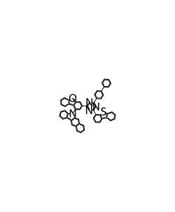 c1ccc(-c2ccc(-c3nc(-c4cc(-n5c6ccccc6c6cc7ccccc7cc65)c5c(c4)oc4ccccc45)nc(-c4cccc5c4sc4ccccc45)n3)cc2)cc1